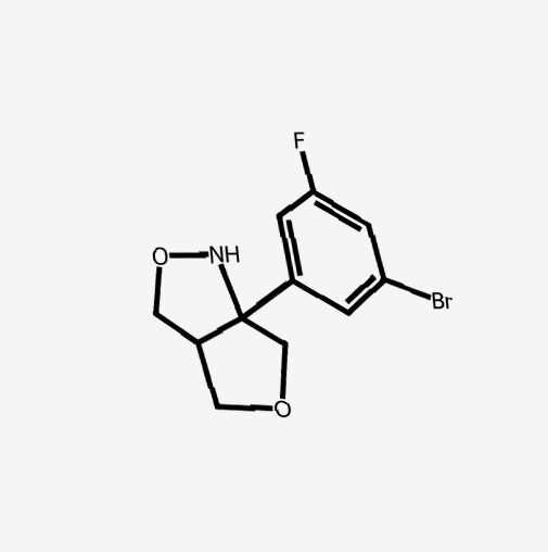 Fc1cc(Br)cc(C23COCC2CON3)c1